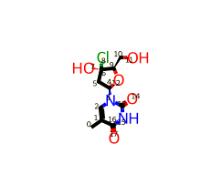 Cc1cn([C@H]2C[C@@](O)(Cl)[C@@H](CO)O2)c(=O)[nH]c1=O